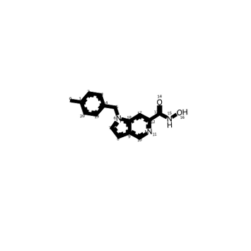 Cc1ccc(Cn2ccc3cnc(C(=O)NO)cc32)cc1